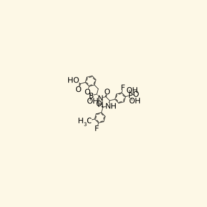 Cc1cc(C(=O)N[C@@H](C(=O)N[C@H]2Cc3cccc(C(=O)O)c3OB2O)c2ccc(P(=O)(O)O)c(F)c2)ccc1F